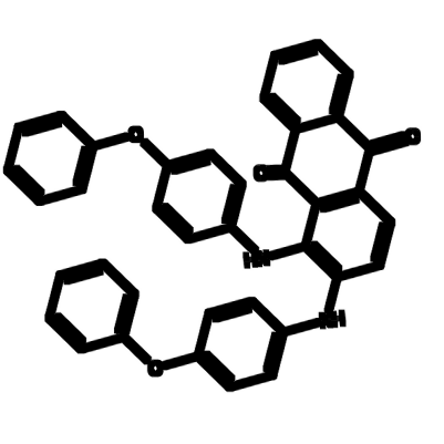 O=C1c2ccccc2C(=O)c2c1ccc(Nc1ccc(Oc3ccccc3)cc1)c2Nc1ccc(Oc2ccccc2)cc1